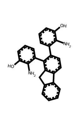 Nc1c(O)cccc1-c1ccc2c(c1-c1cccc(O)c1N)Cc1ccccc1-2